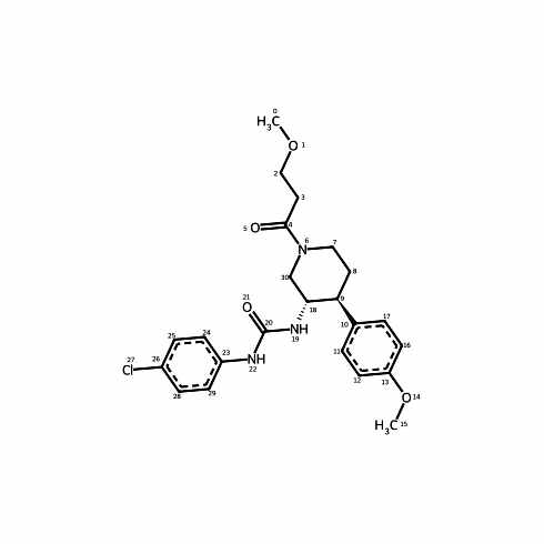 COCCC(=O)N1CC[C@@H](c2ccc(OC)cc2)[C@H](NC(=O)Nc2ccc(Cl)cc2)C1